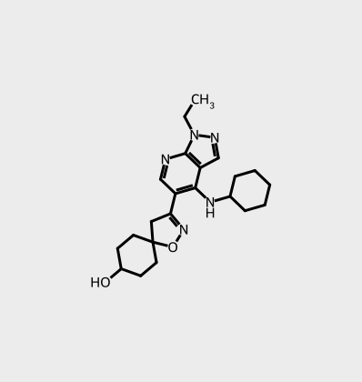 CCn1ncc2c(NC3CCCCC3)c(C3=NOC4(CCC(O)CC4)C3)cnc21